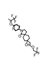 C[C@H](Oc1ccc(N2CCC3(CCC(O)(CCOCC(F)(F)F)CC3)C2=O)cn1)C(F)(F)F